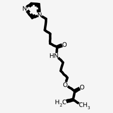 C=C(C)C(=O)OCCCNC(=O)CCCCn1ccnc1